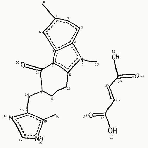 Cc1ccc2c(c1)c1c(n2C)CCC(Cc2nc[nH]c2C)C1=O.O=C(O)C=CC(=O)O